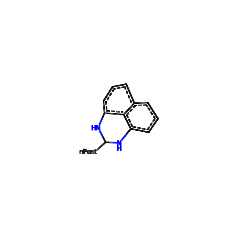 CCCCCC1Nc2cccc3cccc(c23)N1